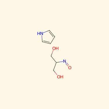 O=NC(CO)CO.c1cc[nH]c1